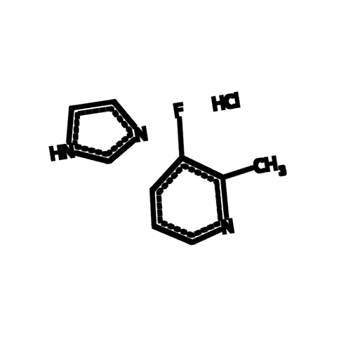 Cc1ncccc1F.Cl.c1c[nH]cn1